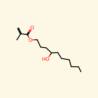 C=C(C)C(=O)OCCCC(O)CCCCCC